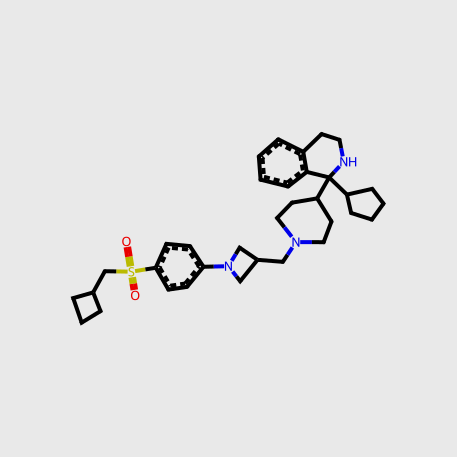 O=S(=O)(CC1CCC1)c1ccc(N2CC(CN3CCC(C4(C5CCCC5)NCCc5ccccc54)CC3)C2)cc1